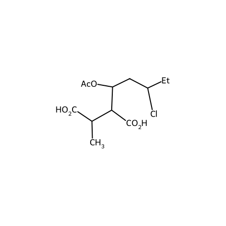 CCC(Cl)CC(OC(C)=O)C(C(=O)O)C(C)C(=O)O